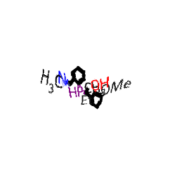 CCC(C)(Pc1ccccc1/C=N/C)c1cccc(OC)c1O